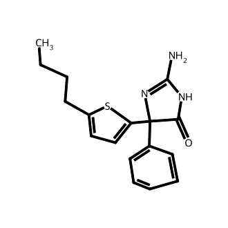 CCCCc1ccc(C2(c3ccccc3)N=C(N)NC2=O)s1